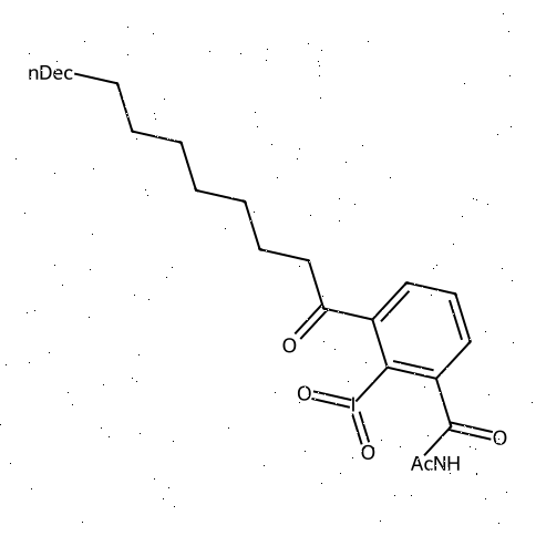 CCCCCCCCCCCCCCCCCC(=O)c1cccc(C(=O)NC(C)=O)c1I(=O)=O